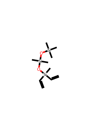 C=C[Si](C)(C=C)O[Si](C)(C)O[Si](C)(C)C